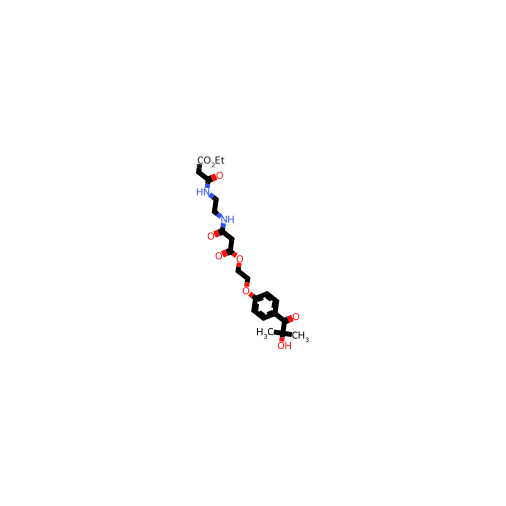 CCOC(=O)CC(=O)NCCNC(=O)CC(=O)OCCOc1ccc(C(=O)C(C)(C)O)cc1